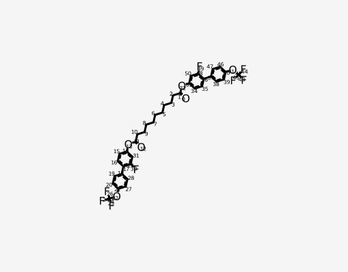 O=C(CCCCCCCCCC(=O)Oc1ccc(-c2ccc(OC(F)(F)F)cc2)c(F)c1)Oc1ccc(-c2ccc(OC(F)(F)F)cc2)c(F)c1